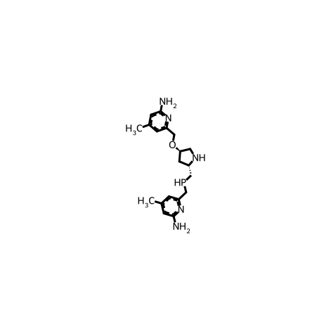 Cc1cc(N)nc(CO[C@H]2CN[C@H](CPCc3cc(C)cc(N)n3)C2)c1